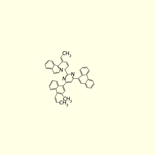 C/C=C\c1c(C)cc(-c2cc(-c3cc4ccccc4c4ccccc34)nc(C/C=C\C(=C/C)c3nccc4ccccc34)n2)c2ccccc12